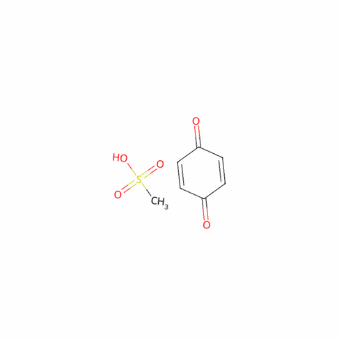 CS(=O)(=O)O.O=C1C=CC(=O)C=C1